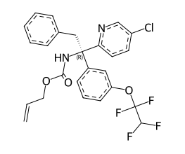 C=CCOC(=O)N[C@](Cc1ccccc1)(c1cccc(OC(F)(F)C(F)F)c1)c1ccc(Cl)cn1